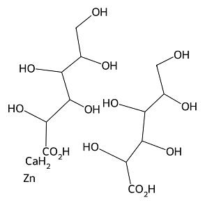 O=C(O)C(O)C(O)C(O)C(O)CO.O=C(O)C(O)C(O)C(O)C(O)CO.[CaH2].[Zn]